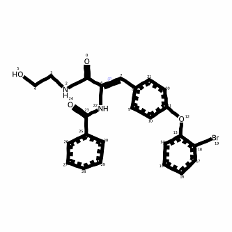 O=C(NCCO)/C(=C/c1ccc(Oc2ccccc2Br)cc1)NC(=O)c1ccccc1